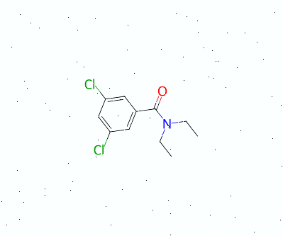 CCN(CC)C(=O)c1cc(Cl)cc(Cl)c1